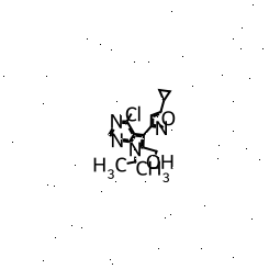 CC(C)n1c(CO)c(-c2cc(C3CC3)on2)c2c(Cl)ncnc21